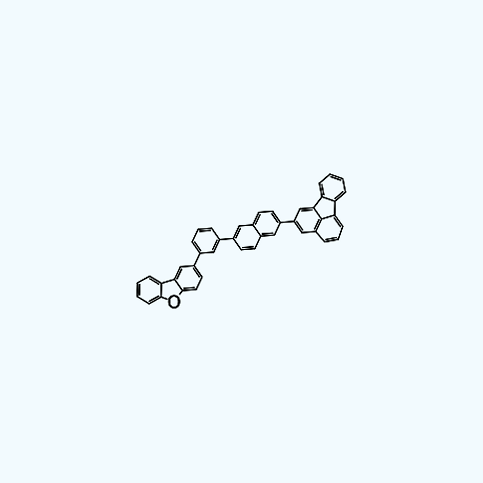 c1cc(-c2ccc3cc(-c4cc5c6c(cccc6c4)-c4ccccc4-5)ccc3c2)cc(-c2ccc3oc4ccccc4c3c2)c1